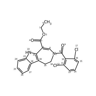 CCOC(=O)C1=CN(C(=O)c2c(Cl)cccc2Cl)CCc2c1[nH]c1ccccc21